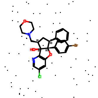 O[C@]12c3ncc(Cl)cc3O[C@@]1(c1ccc(Br)cc1)[C@H](c1ccccc1)C[C@@H]2CN1CCOCC1